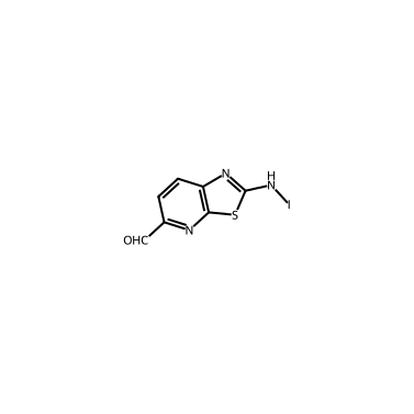 O=Cc1ccc2nc(NI)sc2n1